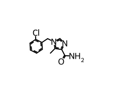 Cc1c(C(N)=O)ncn1Cc1ccccc1Cl